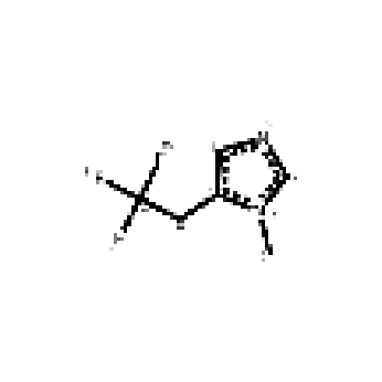 Cn1[c]n[c]c1CC(F)(F)F